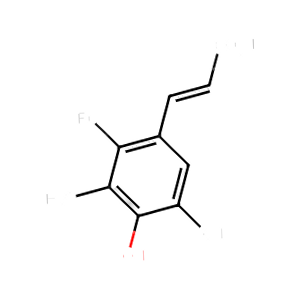 CCc1c(C=CC(=O)O)cc(C)c(O)c1C